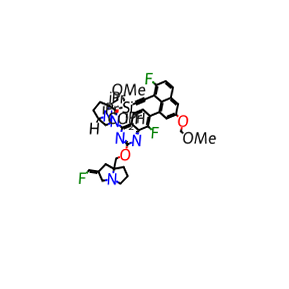 COCOc1cc(-c2ccc3c(N4C[C@@H]5CC[C@](COC)(C4)N5C(=O)O)nc(OCC45CCCN4C/C(=C\F)C5)nc3c2F)c2c(C#C[Si](C(C)C)(C(C)C)C(C)C)c(F)ccc2c1